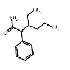 CCCC(CC)[C](C(N)=O)c1ccccc1